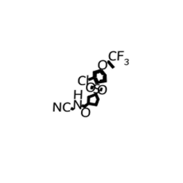 C[C@@H](Oc1ccc(S(=O)(=O)[C@H]2CCC(C(=O)NCC#N)C2)c(Cl)c1)C(F)(F)F